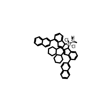 C[SiH](C)[Zr]([Cl])([Cl])([CH]1C(CC2CCCCC2)=Cc2c(-c3ccc4ccccc4c3)cccc21)[CH]1C(CC2CCCCC2)=Cc2c(-c3ccc4ccccc4c3)cccc21